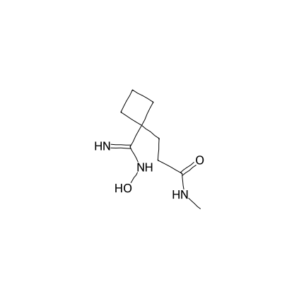 CNC(=O)CCC1(C(=N)NO)CCC1